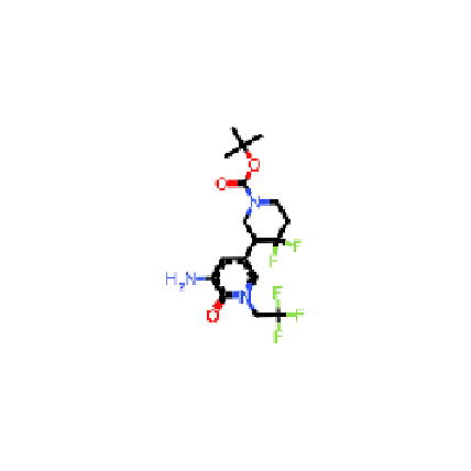 CC(C)(C)OC(=O)N1CCC(F)(F)C(c2cc(N)c(=O)n(CC(F)(F)F)c2)C1